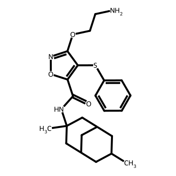 CC1CC2CC(C1)CC(C)(NC(=O)c1onc(OCCN)c1Sc1ccccc1)C2